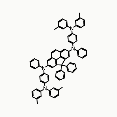 Cc1cccc(N(c2ccc(N(c3ccccc3)c3cc4c5c(ccc6cc(N(c7ccccc7)c7ccc(N(c8cccc(C)c8)c8cccc(C)c8)cc7)cc(c65)C4(c4ccccc4)c4ccccc4)c3)cc2)c2cccc(C)c2)c1